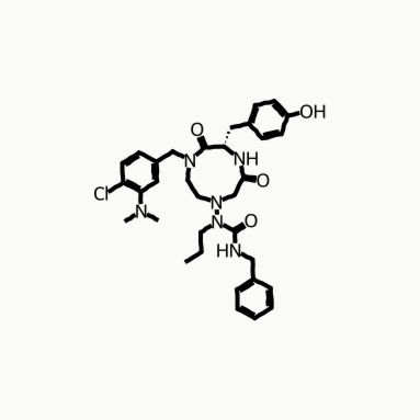 CCCN(C(=O)NCc1ccccc1)N1CCN(Cc2ccc(Cl)c(N(C)C)c2)C(=O)[C@H](Cc2ccc(O)cc2)NC(=O)C1